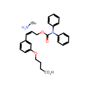 CC(C)(C)N.O=C(O)CCCOc1cccc(/C=C\COC(=O)N(c2ccccc2)c2ccccc2)c1